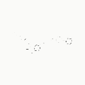 CCCCCCCCCCCCCC(=O)OC(C(=O)O)N1C(=O)CCc2ccc(OCCCCN3CCN(c4cccc(Cl)c4Cl)CC3)cc21